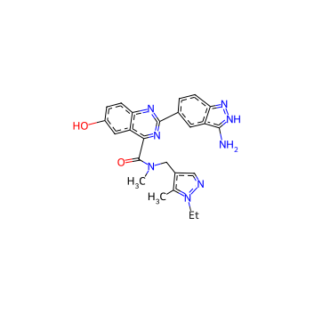 CCn1ncc(CN(C)C(=O)c2nc(-c3ccc4n[nH]c(N)c4c3)nc3ccc(O)cc23)c1C